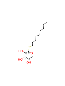 CCCCCCCCCS[C@@H]1OC[C@@H](O)[C@H](O)[C@H]1O